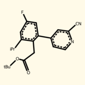 CC(C)c1cc(F)cc(-c2ccnc(C#N)c2)c1CC(=O)OC(C)(C)C